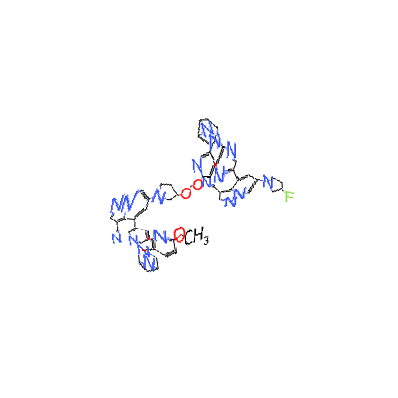 COc1ccc(CN2C3CC2CN(c2ccc(-c4cc(N5CCC(OCOc6ccc(CN7C8CC7CN(c7cnc(-c9cc(N%10CCC(F)C%10)cn%10ncc(C#N)c9%10)cn7)C8)cn6)C5)cn5ncc(C#N)c45)cn2)C3)cn1